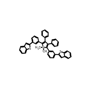 C[Si]1(C)C(c2cccc(-c3cc4ccccc4s3)c2)=C(c2ccccc2)C(c2ccccc2)=C1c1cccc(-c2cc3ccccc3s2)c1